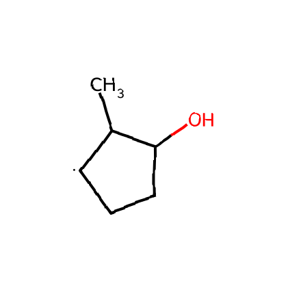 CC1[CH]CCC1O